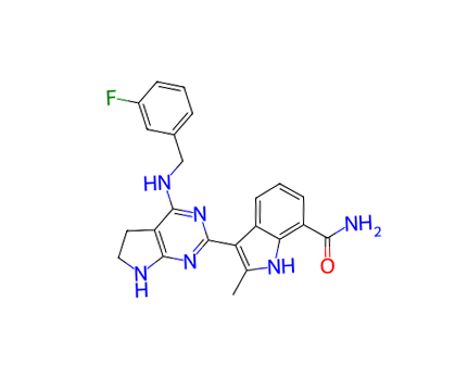 Cc1[nH]c2c(C(N)=O)cccc2c1-c1nc2c(c(NCc3cccc(F)c3)n1)CCN2